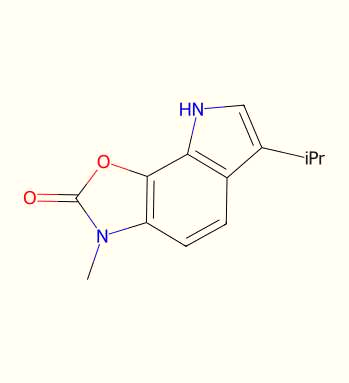 CC(C)c1c[nH]c2c1ccc1c2oc(=O)n1C